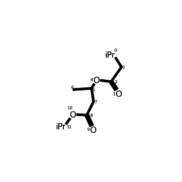 CC(C)CC(=O)OC(C)CC(=O)OC(C)C